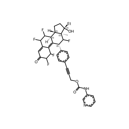 CC[C@]1(O)CC[C@H]2[C@H]3C(=C4C(=CC(=O)C(F)C4F)C(F)C3F)[C@@H](c3ccc(C#CCOC(=O)Nc4cccnc4)cc3)C(F)[C@@]21C